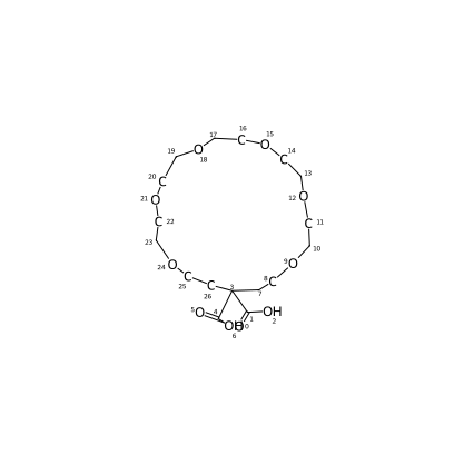 O=C(O)C1(C(=O)O)CCOCCOCCOCCOCCOCCOCC1